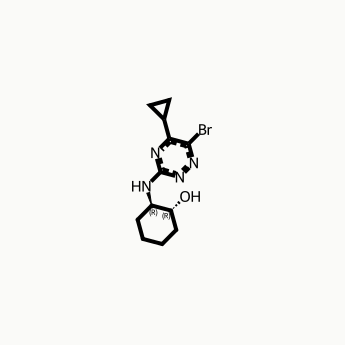 O[C@@H]1CCCC[C@H]1Nc1nnc(Br)c(C2CC2)n1